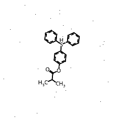 CC(C)C(=O)Oc1ccc([SH](c2ccccc2)c2ccccc2)cc1